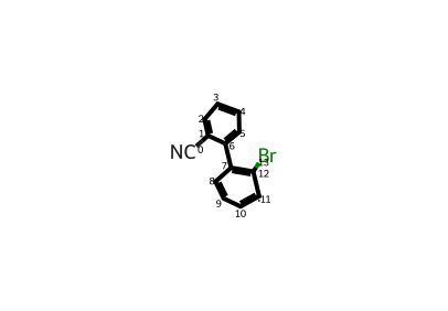 N#Cc1ccccc1-c1ccc[c]c1Br